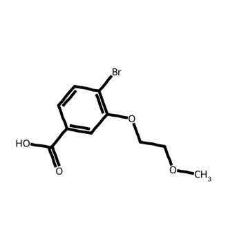 COCCOc1cc(C(=O)O)ccc1Br